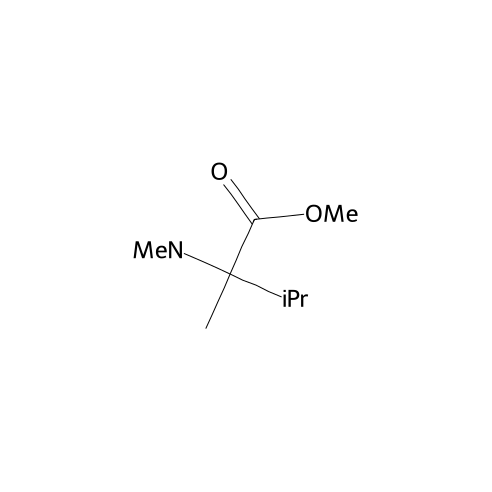 CNC(C)(C(=O)OC)C(C)C